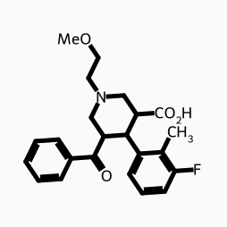 COCCN1CC(C(=O)O)C(c2cccc(F)c2C)C(C(=O)c2ccccc2)C1